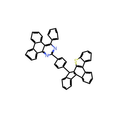 c1ccc(-c2nc(-c3ccc(C4c5ccccc5-c5c4c4sc6ccccc6c4c4ccccc54)cc3)nc3c4ccccc4c4ccccc4c23)cc1